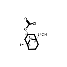 CN1[C@@H]2CCC[C@H]1C[C@H](OC(=O)Cl)C2.Cl